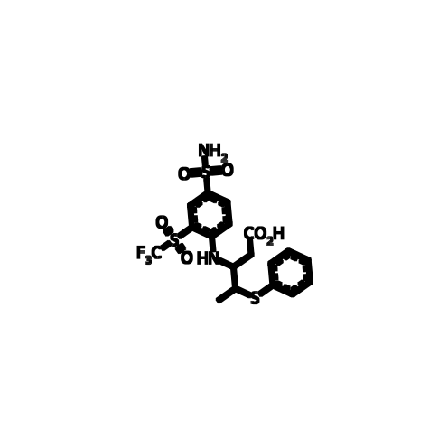 CC(Sc1ccccc1)C(CC(=O)O)Nc1ccc(S(N)(=O)=O)cc1S(=O)(=O)C(F)(F)F